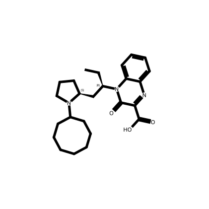 CC[C@H](C[C@@H]1CCCN1C1CCCCCCC1)n1c(=O)c(C(=O)O)nc2ccccc21